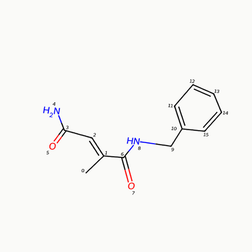 CC(=CC(N)=O)C(=O)NCc1ccccc1